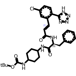 CC(C)(C)OC(=O)NC1CCC(NC(=O)[C@H](Cc2ccccc2)NC(=O)/C=C/c2cc(Cl)ccc2-c2nnn[nH]2)CC1